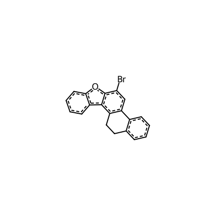 Brc1cc2c(c3c1oc1ccccc13)CCc1ccccc1-2